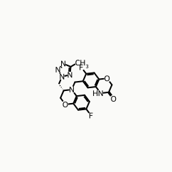 Cc1nnn(C[C@H]2COc3cc(F)ccc3N2Cc2cc3c(cc2F)OCC(=O)N3)n1